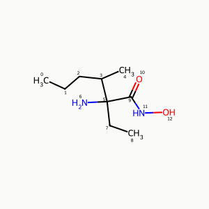 CCCC(C)C(N)(CC)C(=O)NO